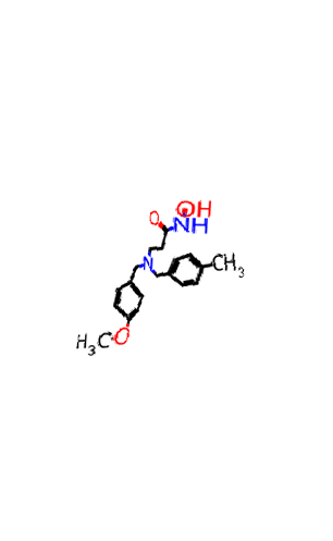 COc1ccc(CN(CCC(=O)NO)Cc2ccc(C)cc2)cc1